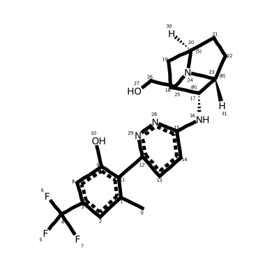 Cc1cc(C(F)(F)F)cc(O)c1-c1ccc(N[C@@H]2CC[C@H]3CC[C@H]2N3CCO)nn1